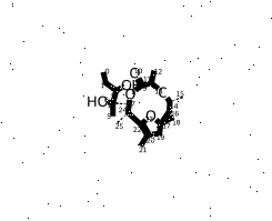 CCC(O)C(C)(O)[C@@H]1OC(=O)C(C)C[C@H](C)CC2(C)CC(C)=C(O2)[C@@H]1C